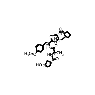 COc1ccc(C[C@H](NC(=O)[C@@H](C)NC(=O)[C@@H]2CC[C@H](O)C2)C(=O)N[C@@H](CC2CCCC2)C(=O)[C@H]2CO2)cc1